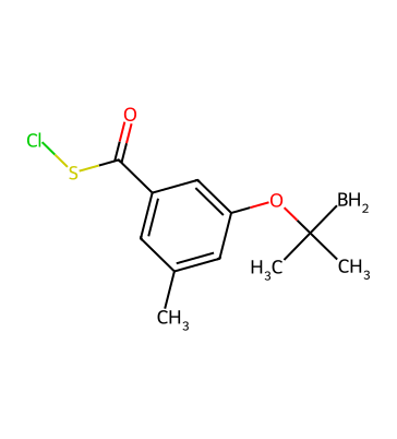 BC(C)(C)Oc1cc(C)cc(C(=O)SCl)c1